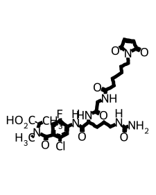 C[C@@H](C(=O)O)N(C)C(=O)c1cc(F)c(NC(=O)C(CCCNC(N)=O)NC(=O)CNC(=O)CCCCCN2C(=O)C=CC2=O)cc1Cl